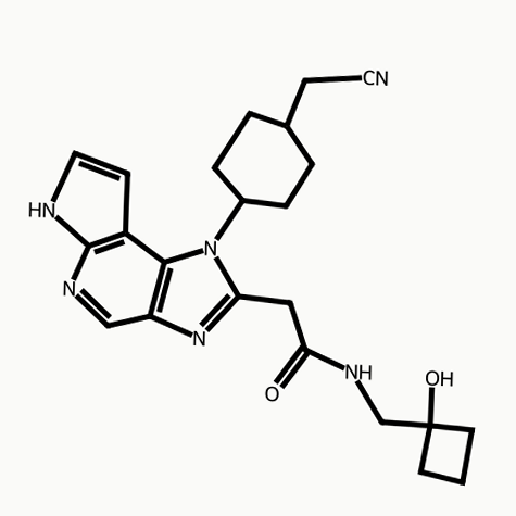 N#CCC1CCC(n2c(CC(=O)NCC3(O)CCC3)nc3cnc4[nH]ccc4c32)CC1